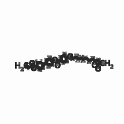 C=CC(=O)Oc1ccc(-c2ccc(OC(=O)c3ccc(OCCCCCCCCC4CC(=C)C(=O)O4)cc3)cc2)cc1